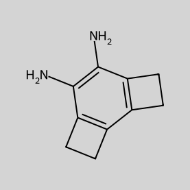 Nc1c(N)c2c(c3c1CC3)CC2